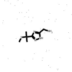 CSC(C)(C)c1n[nH]c(CN)n1